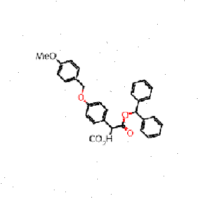 COc1ccc(COc2ccc(C(C(=O)O)C(=O)OC(c3ccccc3)c3ccccc3)cc2)cc1